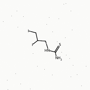 NC(=S)NCC(I)CI